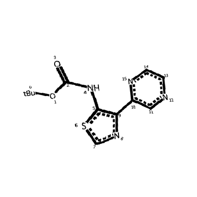 CC(C)(C)OC(=O)Nc1scnc1-c1cnccn1